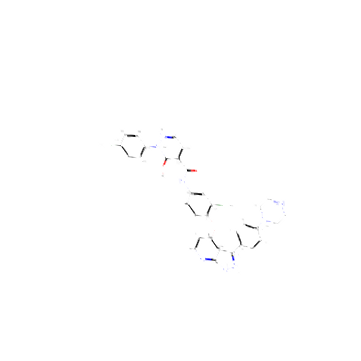 O=C(Nc1ccc(Oc2ccnc3[nH]nc(-c4ccc(N5CCNCC5)cc4)c23)c(F)c1)c1ccnn(-c2ccc(F)cc2)c1=O